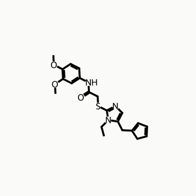 CCn1c(CC2=CC=CC2)cnc1SCC(=O)Nc1ccc(OC)c(OC)c1